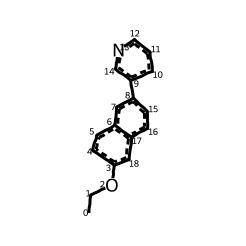 CCOc1ccc2cc(-c3cccnc3)ccc2c1